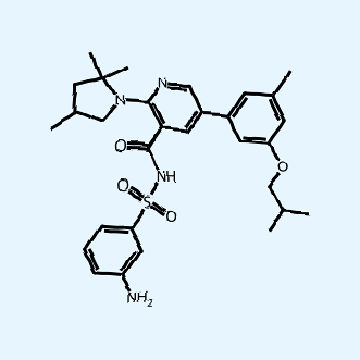 Cc1cc(OCC(C)C)cc(-c2cnc(N3CC(C)CC3(C)C)c(C(=O)NS(=O)(=O)c3cccc(N)c3)c2)c1